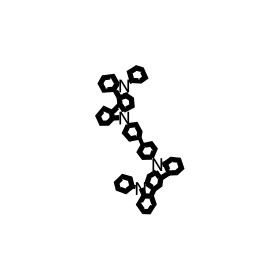 c1ccc(-n2c3ccccc3c3cc4c5ccccc5n(-c5ccc(-c6ccc(-n7c8ccccc8c8c9c%10ccccc%10n(-c%10ccccc%10)c9ccc87)cc6)cc5)c4cc32)cc1